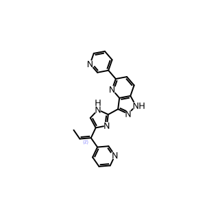 C/C=C(/c1cccnc1)c1c[nH]c(-c2n[nH]c3ccc(-c4cccnc4)nc23)n1